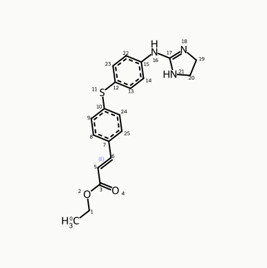 CCOC(=O)/C=C/c1ccc(Sc2ccc(NC3=NCCN3)cc2)cc1